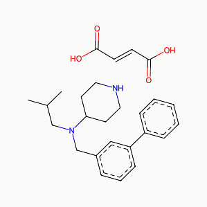 CC(C)CN(Cc1cccc(-c2ccccc2)c1)C1CCNCC1.O=C(O)C=CC(=O)O